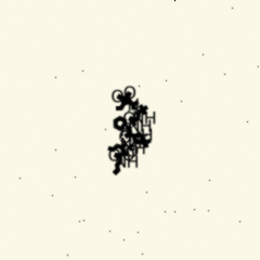 C=CCNC(=O)C(=O)C(CCC)NC(=O)[C@@H]1[C@@H]2[C@H](CN1C(=O)[C@@H](NC(=O)N[C@H](CN(C)c1c(CC)c(=O)c1=O)C(C)(C)C)C1CCCCC1)C2(C)C